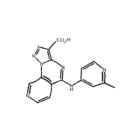 Cc1cc(Nc2nc3c(C(=O)O)nnn3c3cnccc23)ccn1